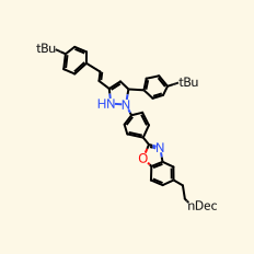 CCCCCCCCCCCCc1ccc2oc(-c3ccc(N4NC(C=Cc5ccc(C(C)(C)C)cc5)=CC4c4ccc(C(C)(C)C)cc4)cc3)nc2c1